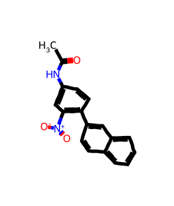 CC(=O)Nc1ccc(-c2ccc3ccccc3c2)c([N+](=O)[O-])c1